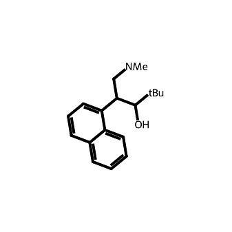 CNCC(c1cccc2ccccc12)C(O)C(C)(C)C